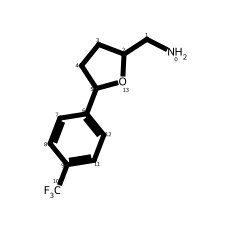 NCC1CCC(c2ccc(C(F)(F)F)cc2)O1